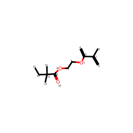 C=C(C)C(=C)OCCOC(=O)C(C)(C)CC